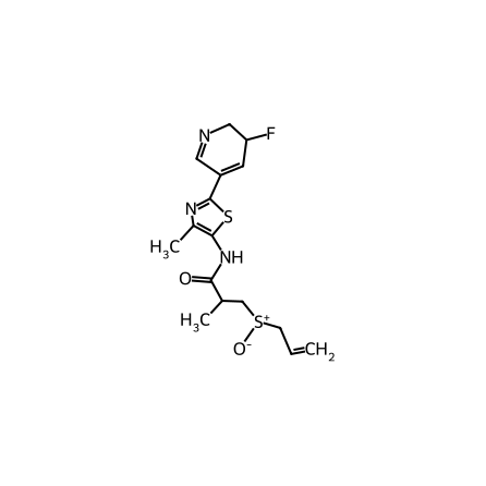 C=CC[S+]([O-])CC(C)C(=O)Nc1sc(C2=CC(F)CN=C2)nc1C